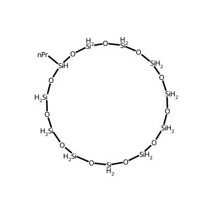 CCC[SiH]1O[SiH2]O[SiH2]O[SiH2]O[SiH2]O[SiH2]O[SiH2]O[SiH2]O[SiH2]O[SiH2]O[SiH2]O1